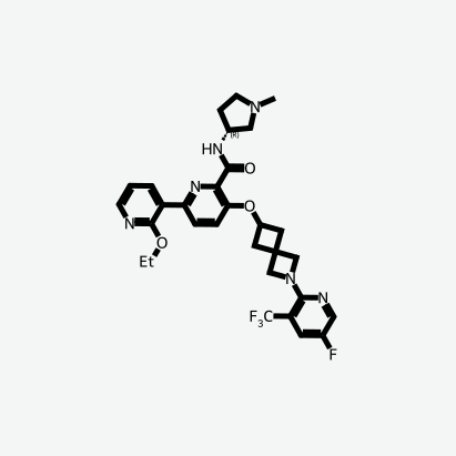 CCOc1ncccc1-c1ccc(OC2CC3(C2)CN(c2ncc(F)cc2C(F)(F)F)C3)c(C(=O)N[C@@H]2CCN(C)C2)n1